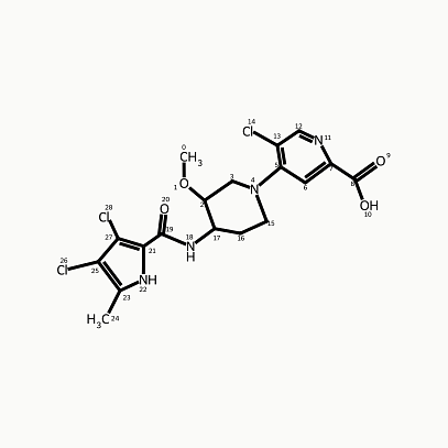 COC1CN(c2cc(C(=O)O)ncc2Cl)CCC1NC(=O)c1[nH]c(C)c(Cl)c1Cl